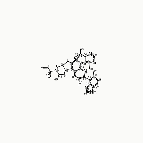 C=CC(=O)N1CC2Cc3c(c4cc(F)c(-c5c(C)ccc6[nH]cnc56)nc4n(-c4c(C)ccnc4C(C)C)c3=O)N2CC1C